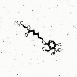 CCOC(=O)CCCCCOc1ccc(Cl)c([N+](=O)[O-])c1C=O